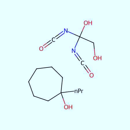 CCCC1(O)CCCCCC1.O=C=NC(O)(CO)N=C=O